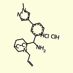 C=CCN1CC2CCC1(C(N)c1cccc(-c3cnn(C)c3)c1)CC2.Cl.Cl